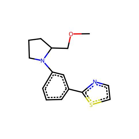 COCC1CCCN1c1cccc(-c2nccs2)c1